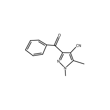 Cc1c(C#N)c(C(=O)c2ccccc2)nn1C